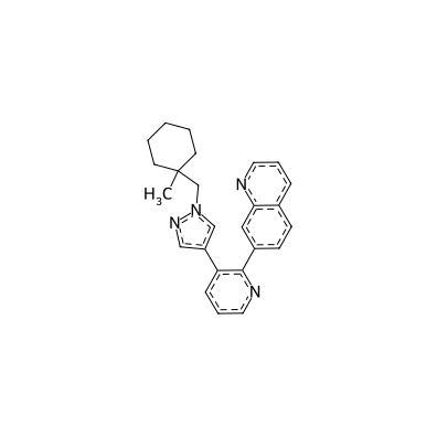 CC1(Cn2cc(-c3cccnc3-c3ccc4cccnc4c3)cn2)CCCCC1